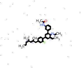 C=C/C=C(C)\C=C(/C)Cc1ccc(C2=CC(=C/C)/C(=N\C=C)C(c3cccc(NC(C)=O)c3)=C2)c(F)c1